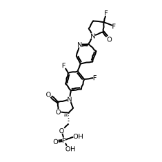 O=C1O[C@@H](COP(=O)(O)O)CN1c1cc(F)c(-c2ccc(N3CCC(F)(F)C3=O)nc2)c(F)c1